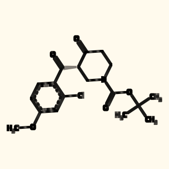 COc1ccc(C(=O)[C@H]2CN(C(=O)OC(C)(C)C)CCC2=O)c(Cl)c1